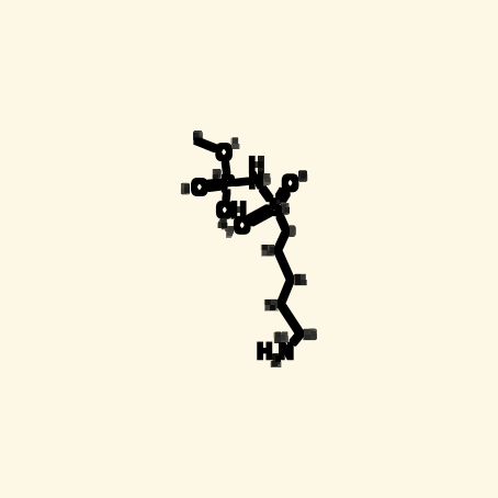 COP(=O)(O)NS(=O)(=O)CCCCCN